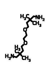 CC(C)(CN)CCOCCOCCC(C)(C)CN